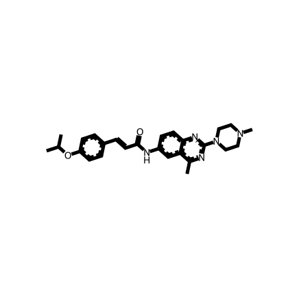 Cc1nc(N2CCN(C)CC2)nc2ccc(NC(=O)/C=C/c3ccc(OC(C)C)cc3)cc12